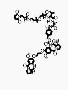 COc1cc2c(cc1OCCCOc1cc3c(cc1OC)C(=O)N1CCC[C@H]1[C@H](O)N3C(=O)OCc1ccc(NC(=O)[C@H](C)NC(=O)[C@@H](NC(=O)C(C)(C)COC(C)(C)CCNC(=O)CCN3C(=O)C=CC3=O)C(C)C)cc1)N=C[C@@H]1CCCN1C2=O